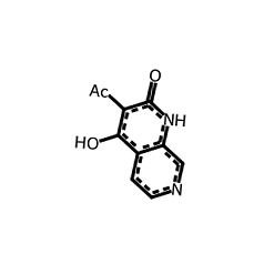 CC(=O)c1c(O)c2ccncc2[nH]c1=O